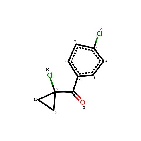 O=C(c1ccc(Cl)cc1)C1(Cl)CC1